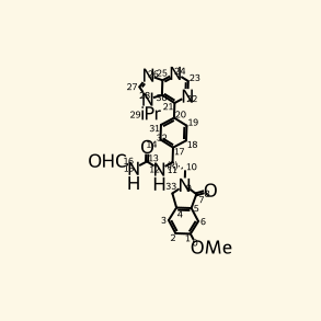 COc1ccc2c(c1)C(=O)N(C[C@H](NC(=O)NC=O)c1ccc(-c3ncnc4ncn(C(C)C)c34)cc1)C2